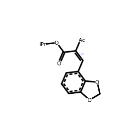 CC(=O)/C(=C/c1cccc2c1OCO2)C(=O)OC(C)C